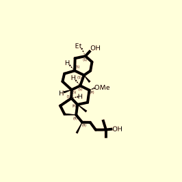 CC[C@]1(O)CC[C@@]2(C)[C@@H](CC[C@@H]3[C@@H]2[C@H](OC)C[C@]2(C)[C@@H]([C@H](C)CCC(C)(C)O)CC[C@@H]32)C1